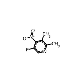 Cc1ncc(F)c([N+](=O)[O-])c1C